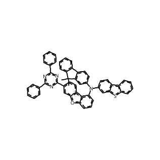 CC1(C)c2ccccc2-c2ccc(N(c3ccc4c(c3)sc3ccccc34)c3cccc4oc5cc(-c6nc(-c7ccccc7)nc(-c7ccccc7)n6)ccc5c34)cc21